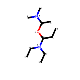 CCC(OC(C)N(C)C)N(CC)CC